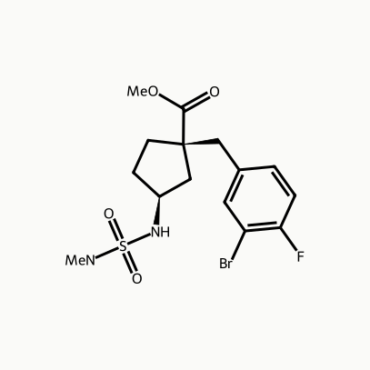 CNS(=O)(=O)N[C@H]1CC[C@](Cc2ccc(F)c(Br)c2)(C(=O)OC)C1